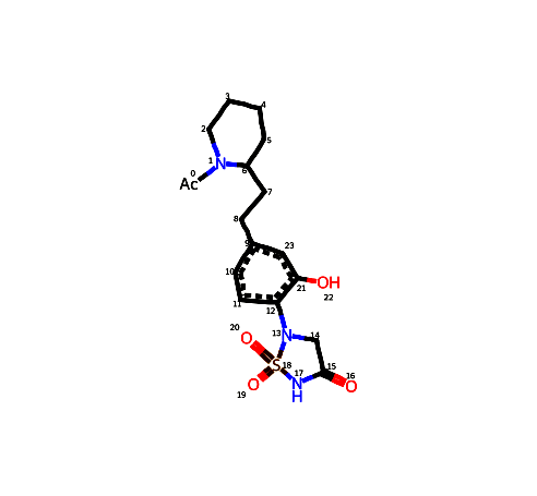 CC(=O)N1CCCCC1CCc1ccc(N2CC(=O)NS2(=O)=O)c(O)c1